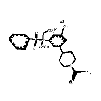 CO[N+](CC(=O)O)(c1cc(C2CCN(C(=N)N)CC2)cc(C(F)(F)F)c1)S(=O)(=O)c1ccccc1.Cl